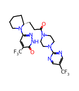 O=C(CC[C@H]1CCCCN1c1cc(C(F)(F)F)c(=O)[nH]n1)N1CCN(c2ncc(C(F)(F)F)cn2)CC1